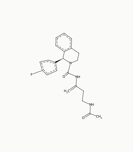 C=C(CCNC(C)=O)NC(=O)N1CCc2ccccc2[C@@H]1c1ccc(F)cc1